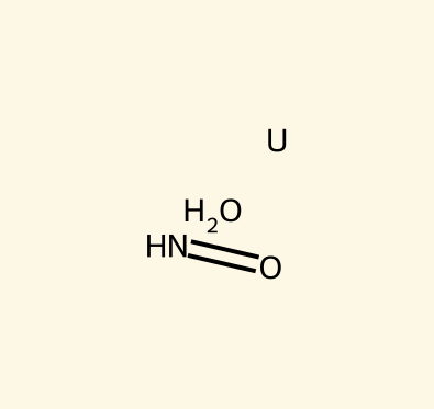 N=O.O.[U]